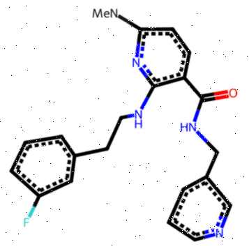 CNc1ccc(C(=O)NCc2cccnc2)c(NCCc2cccc(F)c2)n1